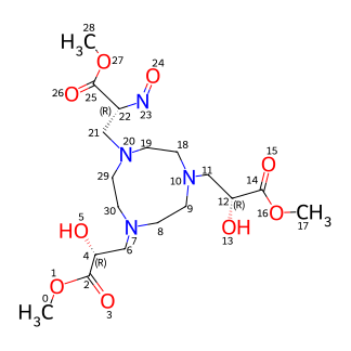 COC(=O)[C@H](O)CN1CCN(C[C@@H](O)C(=O)OC)CCN(C[C@@H](N=O)C(=O)OC)CC1